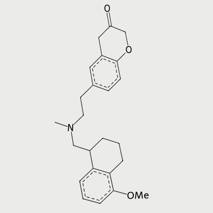 COc1cccc2c1CCCC2CN(C)CCc1ccc2c(c1)CC(=O)CO2